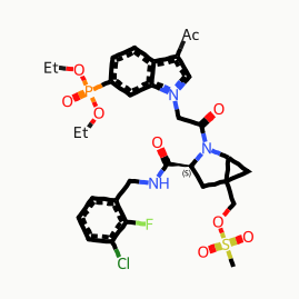 CCOP(=O)(OCC)c1ccc2c(C(C)=O)cn(CC(=O)N3C4CC4(COS(C)(=O)=O)C[C@H]3C(=O)NCc3cccc(Cl)c3F)c2c1